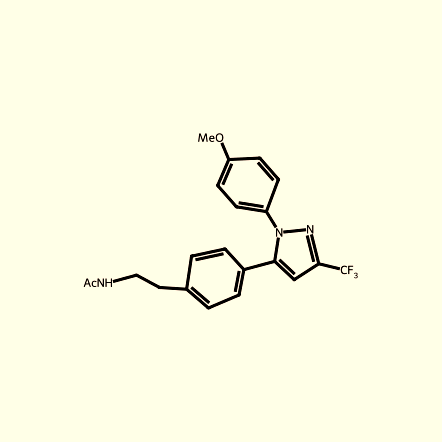 COc1ccc(-n2nc(C(F)(F)F)cc2-c2ccc(CCNC(C)=O)cc2)cc1